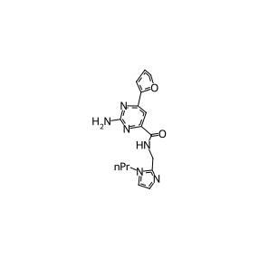 CCCn1ccnc1CNC(=O)c1cc(-c2ccco2)nc(N)n1